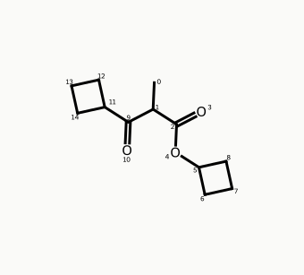 CC(C(=O)OC1CCC1)C(=O)C1CCC1